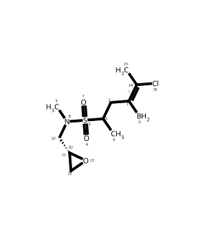 B/C(CC(C)S(=O)(=O)N(C)C[C@H]1CO1)=C(/C)Cl